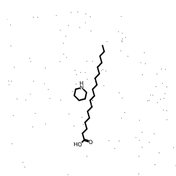 C1CCNCC1.CCCCCCCCCCCCCCCCCC(=O)O